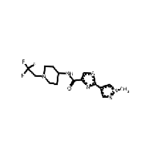 Cn1cc(-c2nc(C(=O)NC3CCN(CC(F)(F)F)CC3)cs2)cn1